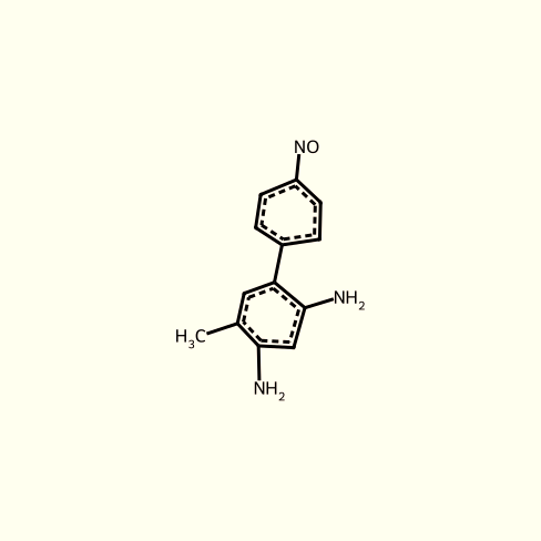 Cc1cc(-c2ccc(N=O)cc2)c(N)cc1N